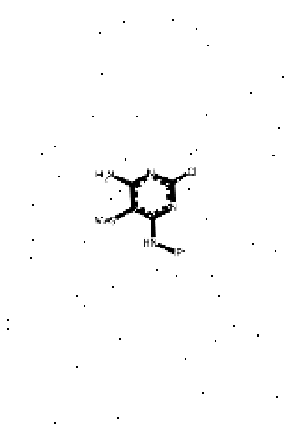 CSc1c(N)nc(Cl)nc1NC(C)C